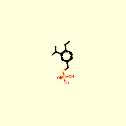 CCc1ccc(COP(=O)(O)O)cc1C(C)C